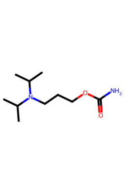 CC(C)N(CCCOC(N)=O)C(C)C